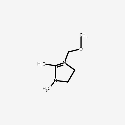 COC[N+]1=C(C)N(C)CC1